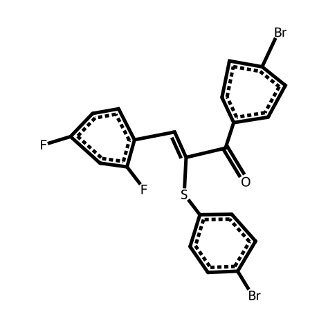 O=C(C(=Cc1ccc(F)cc1F)Sc1ccc(Br)cc1)c1ccc(Br)cc1